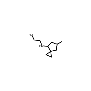 CN1CC(NCCO)C2(CC2)C1